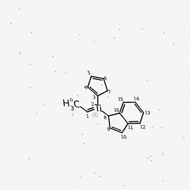 C/[CH]=[Ti](\[C]1=CC=CC1)[CH]1C=Cc2ccccc21